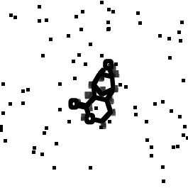 O=C1OCCC2C3CC(C4OC34)C12